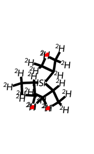 [2H]C([2H])([2H])C([2H])([SiH](C([2H])(C([2H])([2H])[2H])C([2H])([2H])[2H])C([2H])(C([2H])([2H])[2H])C([2H])([2H])[2H])C([2H])([2H])[2H]